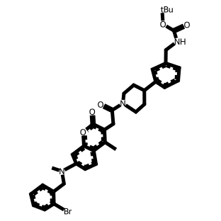 Cc1c(CC(=O)N2CCC(c3cccc(CNC(=O)OC(C)(C)C)c3)CC2)c(=O)oc2cc(N(C)Cc3ccccc3Br)ccc12